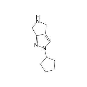 c1c2c(nn1C1CCCC1)CNC2